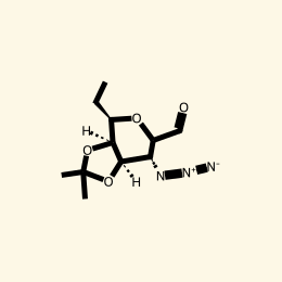 CC[C@H]1OC(C=O)[C@H](N=[N+]=[N-])[C@H]2OC(C)(C)O[C@H]21